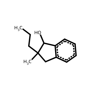 CCCC1(C)Cc2ccccc2C1O